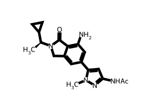 CC(=O)Nc1cc(-c2cc(N)c3c(c2)CN([C@@H](C)C2CC2)C3=O)n(C)n1